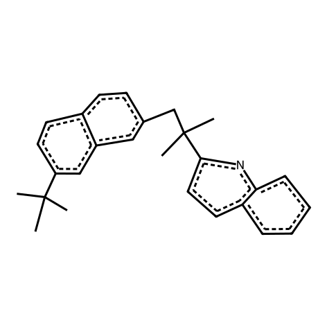 CC(C)(C)c1ccc2ccc(CC(C)(C)c3ccc4ccccc4n3)cc2c1